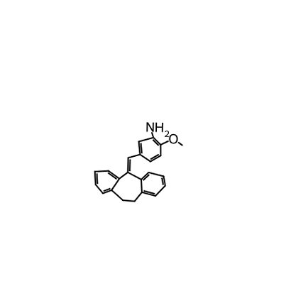 COc1ccc(C=C2c3ccccc3CCc3ccccc32)cc1N